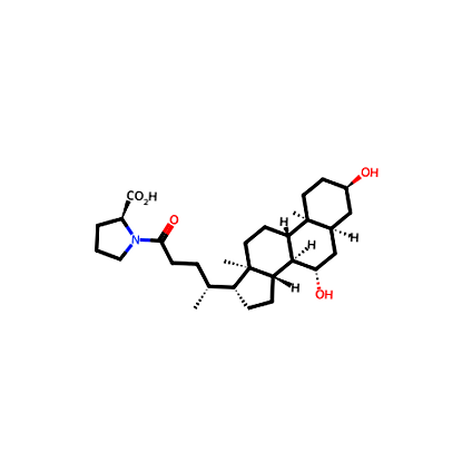 C[C@H](CCC(=O)N1CCC[C@H]1C(=O)O)[C@H]1CC[C@H]2[C@@H]3[C@@H](O)C[C@@H]4C[C@H](O)CC[C@]4(C)[C@H]3CC[C@]12C